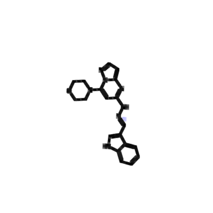 C(=N\Nc1cc(N2CCOCC2)n2nccc2n1)/c1c[nH]c2ccccc12